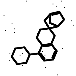 C1=C2CC(C1)C1(CCc3c(cccc3C3CCCCC3)C1)C2